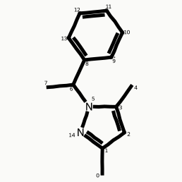 Cc1cc(C)n(C(C)c2[c]cccc2)n1